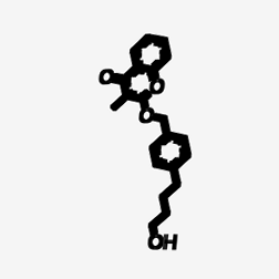 Cc1c(OCc2ccc(CCCCO)cc2)oc2ccccc2c1=O